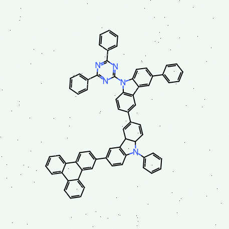 C1=CC2C(C=C1c1ccc3c(c1)c1cc(-c4ccccc4)ccc1n3-c1nc(-c3ccccc3)nc(-c3ccccc3)n1)c1cc(-c3ccc4c5ccccc5c5ccccc5c4c3)ccc1N2c1ccccc1